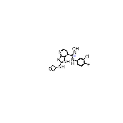 O/N=C(/Nc1ccc(F)c(Cl)c1)c1ccnc2nc(NC3COC3)[nH]c12